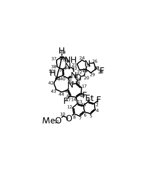 CCc1c(F)ccc2cc(OCOC)cc(C3=C(F)C=C(OC[C@@]45CCCN4C[C@H](F)C5)N4C5=NCN6N[C@H]7CCC6=C5[C@H]7CCCC4=C3F)c12